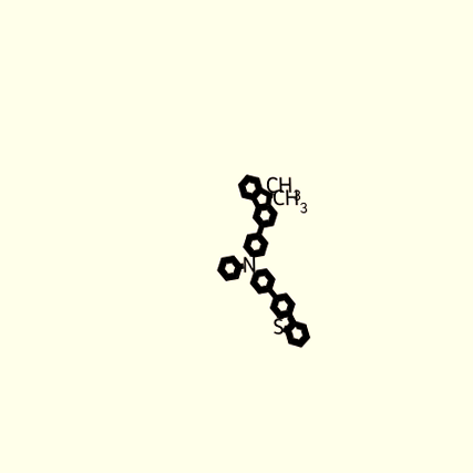 CC1(C)c2ccccc2-c2cc(-c3ccc(N(c4ccccc4)c4ccc(-c5ccc6c(c5)sc5ccccc56)cc4)cc3)ccc21